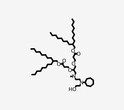 CCCCCCCCC(CCCCCCCC)COC(=O)CCOCC(CN(C)CCN(CCO)C1CCCCCC1)OCCC(=O)OCC(CCCCCCCC)CCCCCCCC